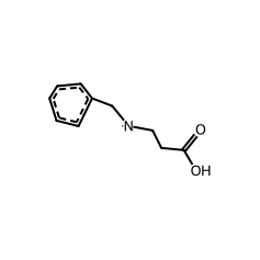 O=C(O)CC[N]Cc1ccccc1